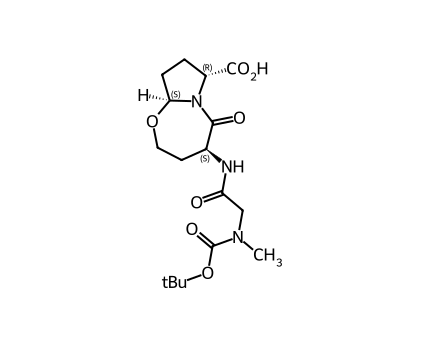 CN(CC(=O)N[C@H]1CCO[C@H]2CC[C@H](C(=O)O)N2C1=O)C(=O)OC(C)(C)C